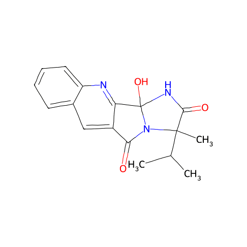 CC(C)C1(C)C(=O)NC2(O)c3nc4ccccc4cc3C(=O)N21